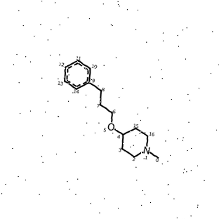 CN1CCC(OCCCc2ccccc2)CC1